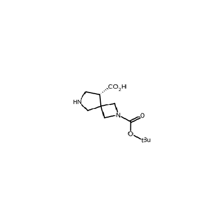 CC(C)(C)OC(=O)N1CC2(CNC[C@@H]2C(=O)O)C1